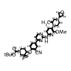 COc1nc(Nc2nccc(-c3ccc(OC4CCN(C(=O)OC(C)(C)C)CC4(F)F)c(C#N)c3)n2)ccc1N1CCN(C2COC2)CC1C